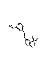 Cc1ccc(/C=C/c2cccc(C=O)c2)cc1C(F)(F)F